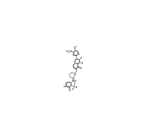 COc1cnc(-c2cc3ccn(C[C@@H]4CCC[C@H](Nc5cn[nH]c(=O)c5C(F)(F)F)C4)c(=O)c3c(F)c2F)nc1N